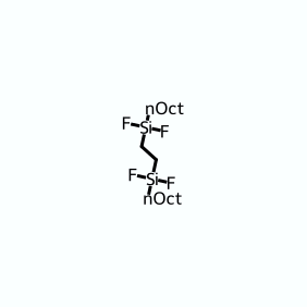 CCCCCCCC[Si](F)(F)CC[Si](F)(F)CCCCCCCC